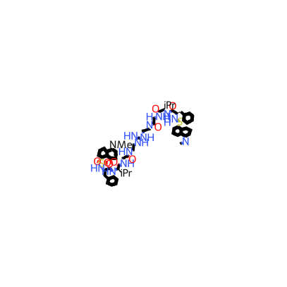 CNc1cccc2c(S(=O)(=O)NC(Cc3ccccc3)C(=O)N[C@@H](C(=O)NCC(=O)NCCNC(=N)NCCNC(=O)CNC(=O)[C@@H](NC(=O)[C@H](Cc3ccccc3)NSc3cccc4c(N(C)C)cccc34)C(C)C)C(C)C)cccc12